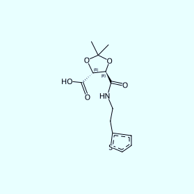 CC1(C)O[C@@H](C(=O)O)[C@H](C(=O)NCCc2cccs2)O1